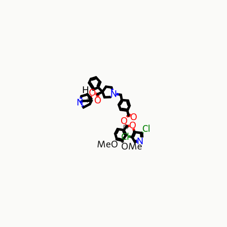 COc1ccc([C@@H](OC(=O)c2ccc(CN3CCC(C(=O)O[C@H]4CN5CCC4CC5)(c4ccccc4)CC3)cc2)Oc2c(Cl)cncc2Cl)cc1OC